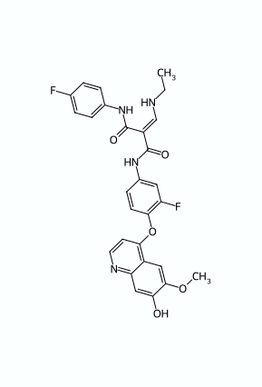 CCN/C=C(\C(=O)Nc1ccc(F)cc1)C(=O)Nc1ccc(Oc2ccnc3cc(O)c(OC)cc23)c(F)c1